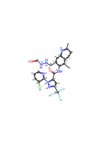 Cc1ccc2c(C)c(NC(=O)c3cc(C(F)(F)F)nn3-c3ncccc3Cl)c(CNNC=O)cc2n1